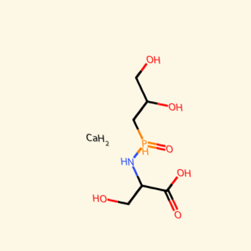 O=C(O)C(CO)N[PH](=O)CC(O)CO.[CaH2]